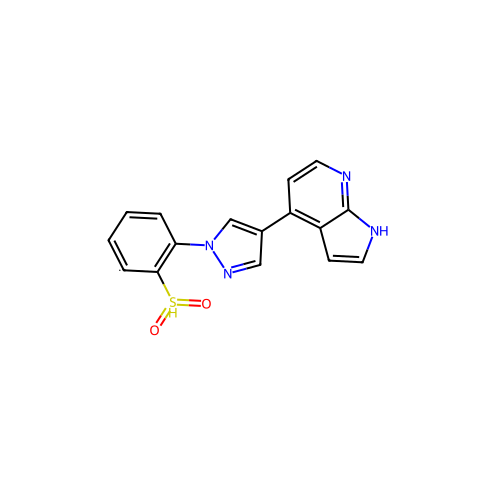 O=[SH](=O)c1[c]cccc1-n1cc(-c2ccnc3[nH]ccc23)cn1